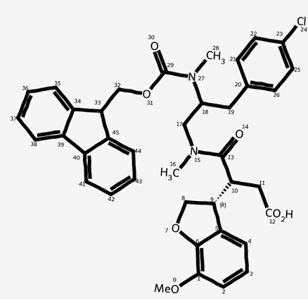 COc1cccc2c1OC[C@@H]2C(CC(=O)O)C(=O)N(C)CC(Cc1ccc(Cl)cc1)N(C)C(=O)OCC1c2ccccc2-c2ccccc21